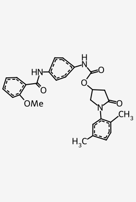 COc1ccccc1C(=O)Nc1ccc(NC(=O)OC2CC(=O)N(c3cc(C)ccc3C)C2)cc1